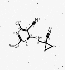 CSc1nc(Cl)c(C#N)c(OCC2(C#N)CC2)n1